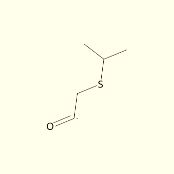 CC(C)SC[C]=O